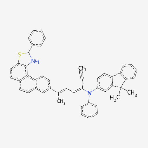 C#C/C(=C\C=C(/C)c1ccc2c(ccc3ccc4c(c32)NC(c2ccccc2)S4)c1)N(c1ccccc1)c1ccc2c(c1)C(C)(C)c1ccccc1-2